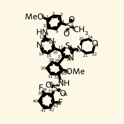 COc1ccc(S(C)(=O)=O)cc1Nc1nccc(-c2sc(N3CCOCC3)nc2-c2cccc(NS(=O)(=O)c3c(F)cccc3F)c2OC)n1